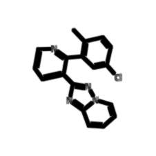 Cc1ccc(Cl)cc1-c1ncccc1-c1nc2ccccn2n1